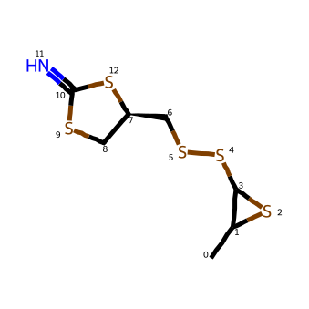 CC1SC1SSC[C@H]1CSC(=N)S1